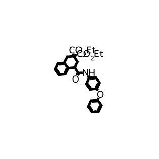 CCOC(=O)C1(C(=O)OCC)Cc2ccccc2C(C(=O)Nc2ccc(Oc3ccccc3)cc2)C1